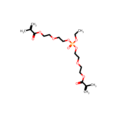 C=C(C)C(=O)OCCOCCOP(=O)(OCC)OCCOCCOC(=O)C(=C)C